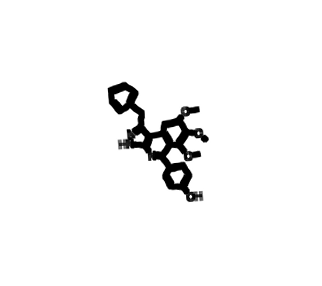 COc1cc2c(c(-c3ccc(O)cc3)nc3[nH]nc(Cc4ccccc4)c32)c(OC)c1OC